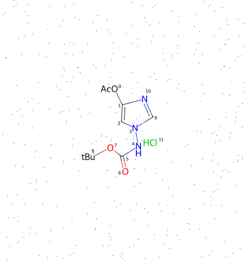 CC(=O)Oc1cn(NC(=O)OC(C)(C)C)cn1.Cl